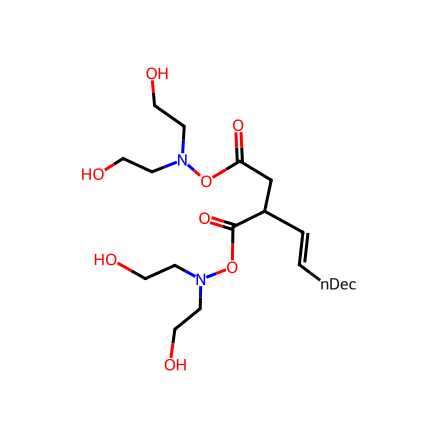 CCCCCCCCCCC=CC(CC(=O)ON(CCO)CCO)C(=O)ON(CCO)CCO